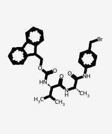 CC(C)[C@H](NC(=O)OCC1c2ccccc2-c2ccccc21)C(=O)N[C@@H](C)C(=O)Nc1ccc(CBr)cc1